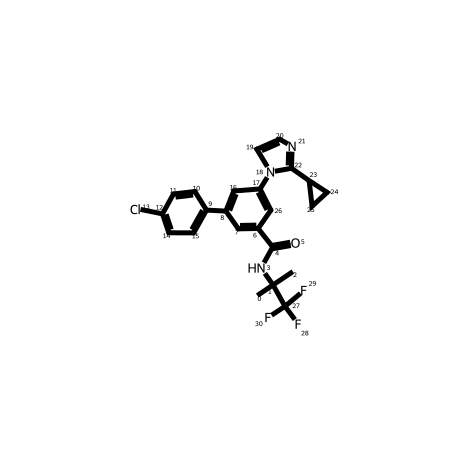 CC(C)(NC(=O)c1cc(-c2ccc(Cl)cc2)cc(-n2ccnc2C2CC2)c1)C(F)(F)F